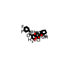 Cc1ccnc([C@@H](O)[C@@]2(O)C3CC[C@H]2C[C@H](S(=O)(=O)c2cc(C(=O)Nc4ccc(F)c(F)c4)ccc2Cl)C3)c1